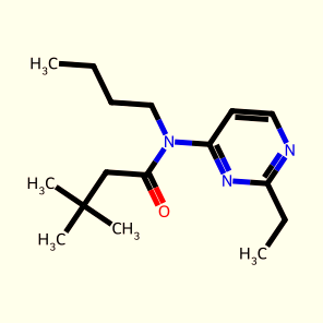 CCCCN(C(=O)CC(C)(C)C)c1ccnc(CC)n1